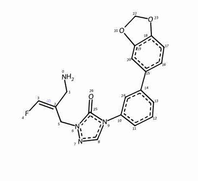 NC/C(=C/F)Cn1ncn(-c2cccc(-c3ccc4c(c3)OCO4)c2)c1=O